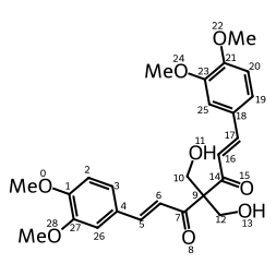 COc1ccc(/C=C/C(=O)C(CO)(CO)C(=O)/C=C/c2ccc(OC)c(OC)c2)cc1OC